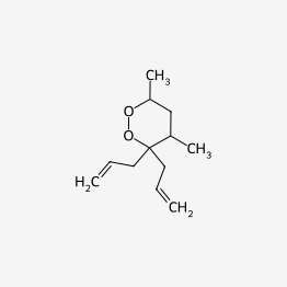 C=CCC1(CC=C)OOC(C)CC1C